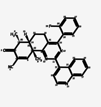 C[C@H]1C(=O)C(C#N)=C[C@@]2(C)c3nc(-c4ccnc5ccccc45)nc(-c4ccccc4F)c3CC[C@@H]12